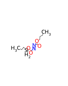 CCCCOC(=O)N=NC(=O)O[SiH2]CCC